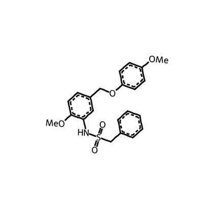 COc1ccc(OCc2ccc(OC)c(NS(=O)(=O)Cc3ccccc3)c2)cc1